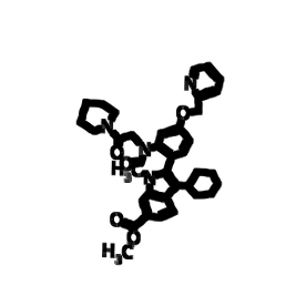 COC(=O)c1ccc2c(C3CCCCC3)c(-c3ccc(OCc4ccccn4)cc3N(C=O)CC(=O)N3CCCCC3)n(C)c2c1